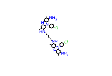 CC1=CC2=Nc3cc(C)c(N)cc3N(c3ccc(Cl)cc3)C2C=C1NCCCCCCNc1cc2c(cc1C)nc1cc(C)c(N)cc1[n+]2-c1ccc(Cl)cc1